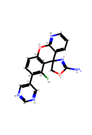 NC1=NC2(CO1)c1cccnc1Oc1ccc(-c3cncnc3)c(F)c12